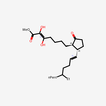 CCCCCC(CC)CC/C=C/[C@H]1CCC(=O)[C@@H]1CCCC/C(O)=C(\O)C(=O)OC